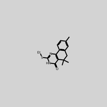 CCSc1nc2c(c(=O)[nH]1)C(C)(C)Cc1cc(C)ccc1-2